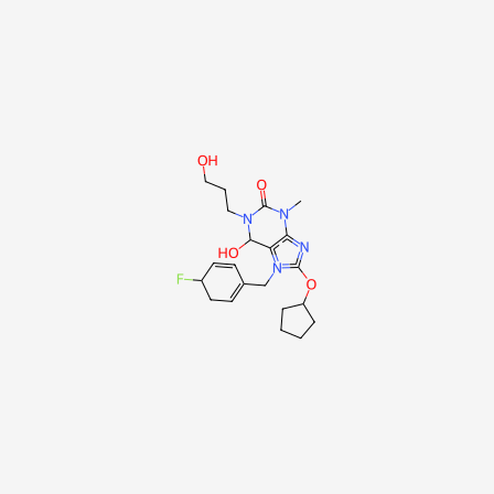 CN1C(=O)N(CCCO)C(O)c2c1nc(OC1CCCC1)n2CC1=CCC(F)C=C1